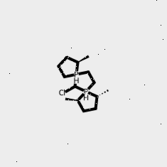 C[C@@H]1CCC[PH]12CC[PH]1(C2Cl)[C@H](C)CC[C@H]1C